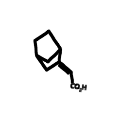 O=C(O)C=C1CC2CCC1C2